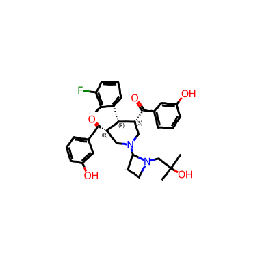 Cc1c(F)cccc1[C@H]1[C@@H](C(=O)c2cccc(O)c2)CN(C2[CH]CN2CC(C)(C)O)C[C@H]1C(=O)c1cccc(O)c1